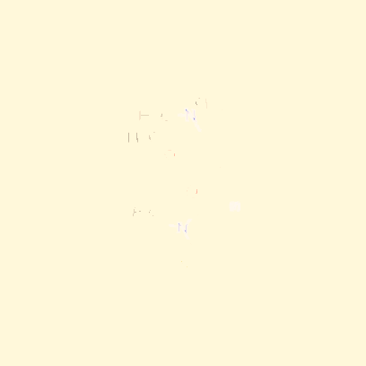 CCN1C(=O)/C(=C\c2ccc(N(C)C)c(OC)c2)CCC1=S